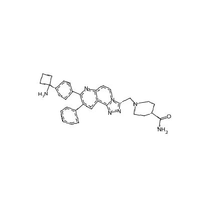 NC(=O)C1CCN(Cc2nnc3c4cc(-c5ccccc5)c(-c5ccc(C6(N)CCC6)cc5)nc4ccn23)CC1